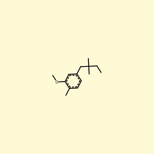 CCC(C)(C)Cc1ccc(C)c(OC)c1